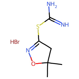 Br.CC1(C)CC(SC(=N)N)=NO1